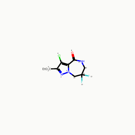 CCOC(=O)c1nn2c(c1Cl)C(=O)NCC(F)(F)C2